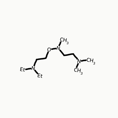 CCN(CC)CCON(C)CCN(C)C